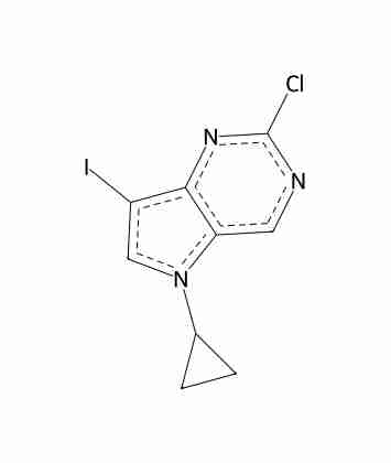 Clc1ncc2c(n1)c(I)cn2C1CC1